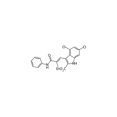 CCOC(=O)c1[nH]c2cc(Cl)cc(Cl)c2c1C=C(C)C(=O)Nc1ccccc1